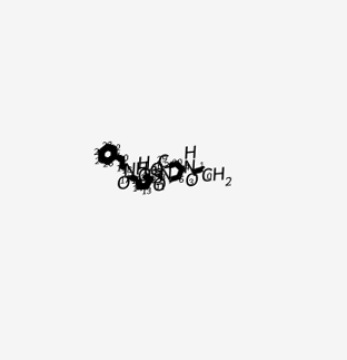 C=CC(=O)NC1CCN(S(=O)(=O)c2ccc(C(=O)NCCc3ccccc3)o2)C(C)C1